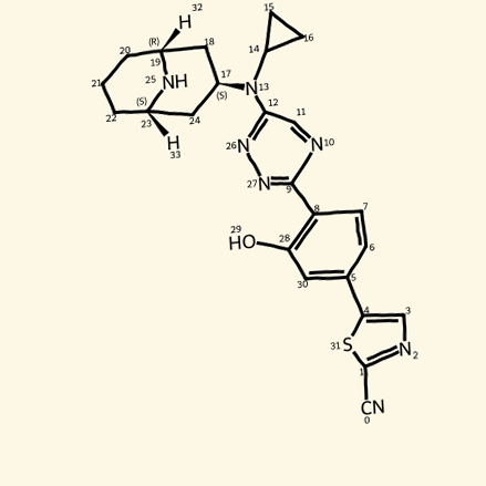 N#Cc1ncc(-c2ccc(-c3ncc(N(C4CC4)[C@@H]4C[C@H]5CCC[C@@H](C4)N5)nn3)c(O)c2)s1